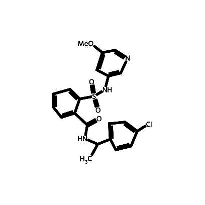 COc1cncc(NS(=O)(=O)c2ccccc2C(=O)NC(C)c2ccc(Cl)cc2)c1